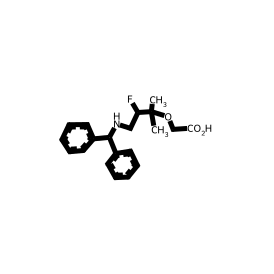 CC(C)(OCC(=O)O)C(F)CNC(c1ccccc1)c1ccccc1